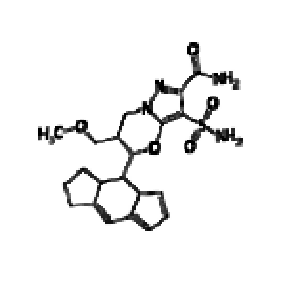 COCC1Cn2nc(C(N)=O)c(S(N)(=O)=O)c2OC1C1C2C=CC=C2C=C2CCCC21